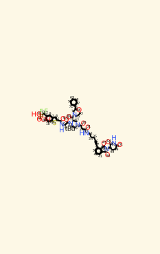 CC(C)(C)[C@H](NC(=O)c1cc2cc(C(F)(F)P(=O)(O)O)ccc2s1)C(=O)N1CCN(C(=O)CC(=O)NCCCC#Cc2cccc3c2C(=O)N(C2CCC(=O)NC2=O)C3=O)C[C@H]1C(=O)N1CCOC(c2ccccc2)C1